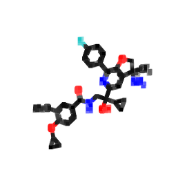 COc1cc(C(=O)NCC(O)(c2cc3c(c(-c4ccc(F)cc4)n2)OC[C@@]3(N)C(F)(F)F)C2CC2)ccc1OC1CC1